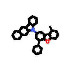 Cc1cccc2oc3c(-c4ccccc4)cc(-n4c5ccccc5c5cc6ccccc6cc54)cc3c12